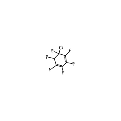 FC1=C(F)C(F)C(F)(Cl)C(F)=C1F